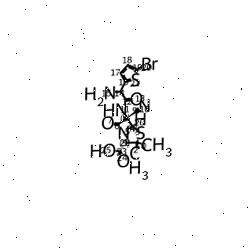 CC1(C)S[C@H]2N(C(=O)[C@]2(C#N)NC(=O)C(N)c2ccc(Br)s2)[C@H]1C(=O)O